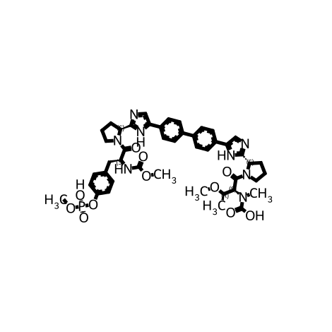 COC(=O)N[C@@H](Cc1ccc(OP(=O)(O)OC)cc1)C(=O)N1CCC[C@H]1c1ncc(-c2ccc(-c3ccc(-c4cnc([C@@H]5CCCN5C(=O)[C@H]([C@@H](C)OC)N(C)C(=O)O)[nH]4)cc3)cc2)[nH]1